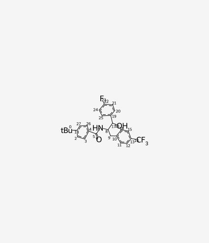 CC(C)(C)c1ccc(C(=O)NC(Cc2ccc(C(F)(F)F)cc2)C(O)c2ccc(F)cc2)cc1